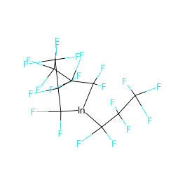 FC(F)(F)C(F)(F)[C](F)(F)[In]([C](F)(F)C(F)(F)C(F)(F)F)[C](F)(F)C(F)(F)C(F)(F)F